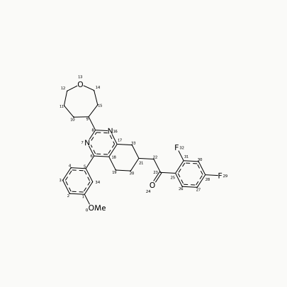 COc1cccc(-c2nc(C3CCCOCC3)nc3c2CCC(CC(=O)c2ccc(F)cc2F)C3)c1